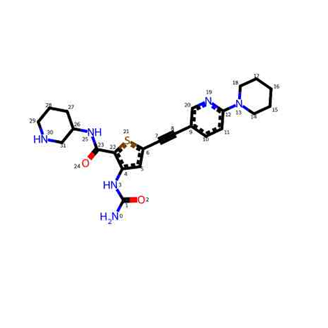 NC(=O)Nc1cc(C#Cc2ccc(N3CCCCC3)nc2)sc1C(=O)NC1CCCNC1